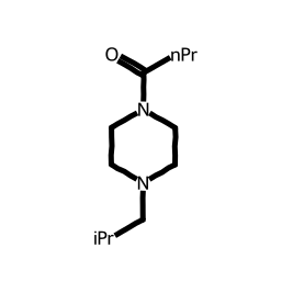 CCCC(=O)N1CCN(CC(C)C)CC1